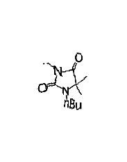 [CH2]N1C(=O)N(CCCC)C(C)(C)C1=O